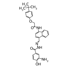 CC(C)(C)c1ccc(OCC(=O)Nc2ccc(/C=N/NC(=O)c3ccc(O)c(N)c3)c3ccccc23)cc1